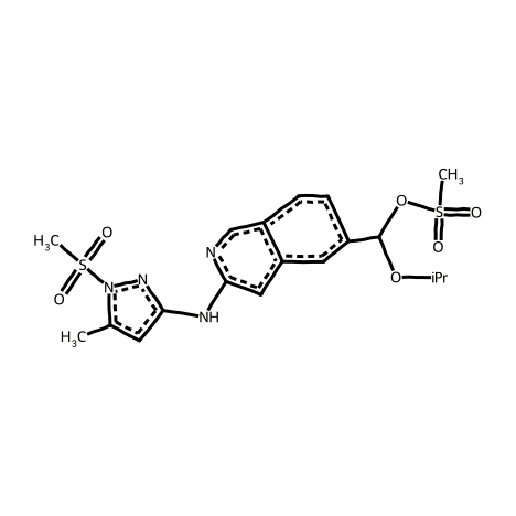 Cc1cc(Nc2cc3cc(C(OC(C)C)OS(C)(=O)=O)ccc3cn2)nn1S(C)(=O)=O